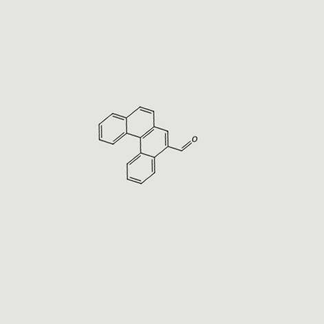 O=Cc1cc2ccc3ccccc3c2c2ccccc12